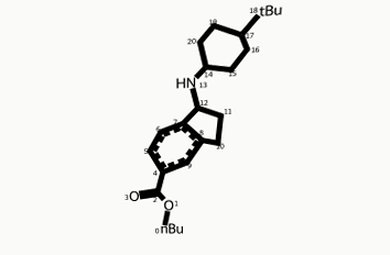 CCCCOC(=O)c1ccc2c(c1)CCC2NC1CCC(C(C)(C)C)CC1